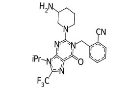 CC(C)n1c(C(F)(F)F)nc2c(=O)n(Cc3ccccc3C#N)c(N3CCCC(N)C3)nc21